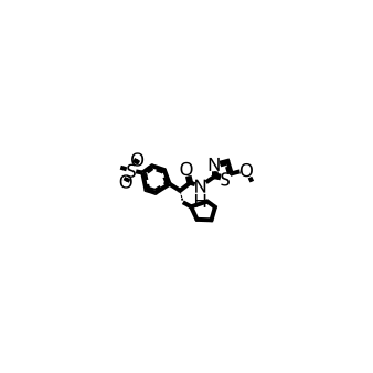 COc1cnc(NC(=O)[C@H](CC2CCCC2)c2ccc(S(C)(=O)=O)cc2)s1